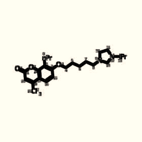 CCCc1c(OCCCCCN2CCN(C(C)C)C2)ccc2c(C(F)(F)F)cc(=O)oc12